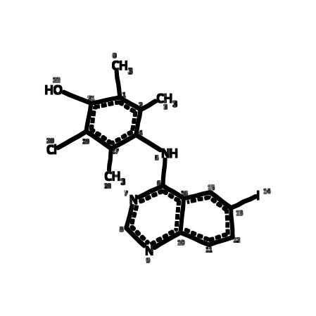 Cc1c(C)c(Nc2ncnc3ccc(I)cc23)c(C)c(Cl)c1O